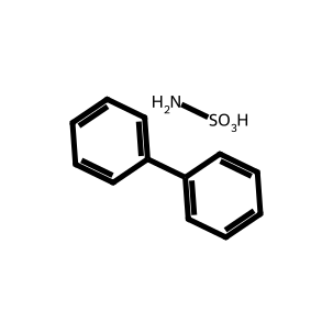 NS(=O)(=O)O.c1ccc(-c2ccccc2)cc1